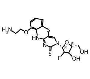 NCCOc1cccc2c1Nc1nc(=S)n([C@@H]3O[C@H](CO)C(O)C3F)cc1S2